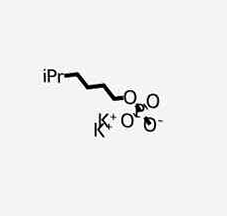 CC(C)CCCCOP(=O)([O-])[O-].[K+].[K+]